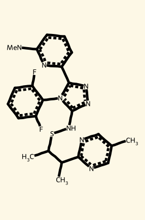 CNc1cccc(-c2nnc(NSC(C)C(C)c3ncc(C)cn3)n2-c2c(F)cccc2F)n1